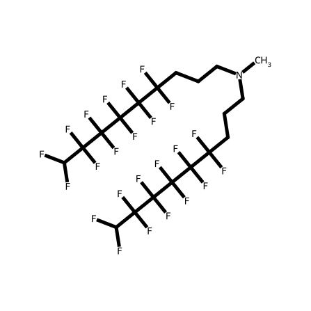 CN(CCCC(F)(F)C(F)(F)C(F)(F)C(F)(F)C(F)(F)C(F)F)CCCC(F)(F)C(F)(F)C(F)(F)C(F)(F)C(F)(F)C(F)F